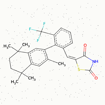 Cc1cc2c(cc1-c1c(/C=C3/SC(=O)NC3=O)cccc1C(F)(F)F)C(C)(C)CCC2(C)C